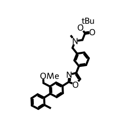 COCc1cc(-c2nc(-c3cccc(CN(C)CC(=O)OC(C)(C)C)c3)co2)ccc1-c1ccccc1C